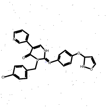 O=c1c(-c2cccnc2)c[nH]/c(=N\c2ccc(OC3C=CON3)cc2)n1Cc1ccc(Cl)cc1